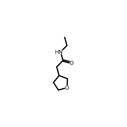 CCNC(=O)CC1CCOC1